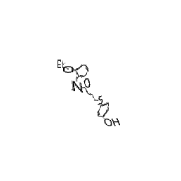 CCOc1ccccc1CN(C)C(=O)CCCSc1ccc(O)cc1